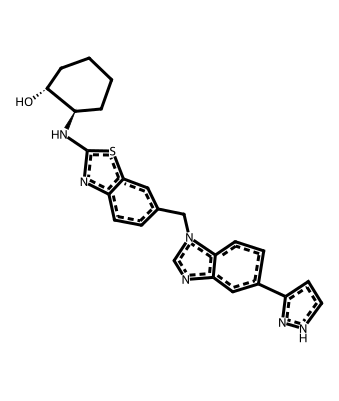 O[C@@H]1CCCC[C@H]1Nc1nc2ccc(Cn3cnc4cc(-c5cc[nH]n5)ccc43)cc2s1